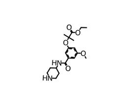 CCOC(=O)C(C)(C)Oc1cc(OC)cc(C(=O)NC2CCNCC2)c1